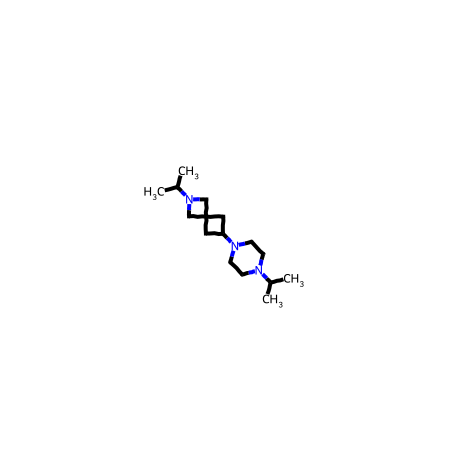 CC(C)N1CCN(C2CC3(C2)CN(C(C)C)C3)CC1